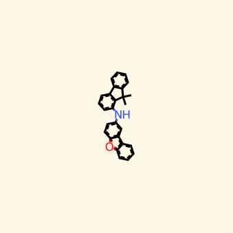 CC1(C)c2ccccc2-c2cccc(Nc3ccc4oc5ccccc5c4c3)c21